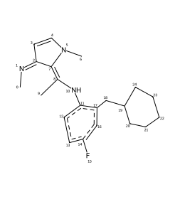 C/N=C1/C=CN(C)/C1=C(/C)Nc1ccc(F)cc1CC1CCCCC1